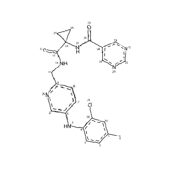 Cc1ccc(Nc2ccc(CNC(=O)C3(NC(=O)c4cncnc4)CC3)nc2)c(Cl)c1